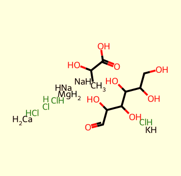 CC(O)C(=O)O.Cl.Cl.Cl.Cl.O=CC(O)C(O)C(O)C(O)CO.[CaH2].[KH].[MgH2].[NaH].[NaH]